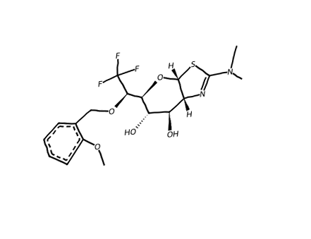 COc1ccccc1CO[C@H]([C@H]1O[C@@H]2SC(N(C)C)=N[C@@H]2[C@@H](O)[C@@H]1O)C(F)(F)F